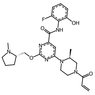 C=CC(=O)N1CCN(c2cc(C(=O)Nc3c(O)cccc3F)nc(OC[C@@H]3CCCN3C)n2)[C@@H](C)C1